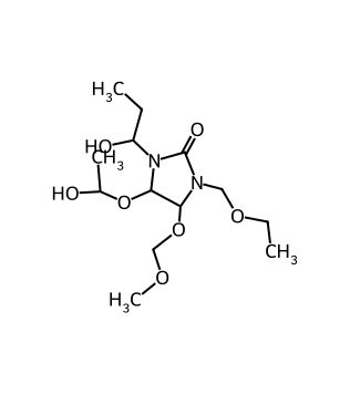 CCOCN1C(=O)N(C(O)CC)C(OC(C)O)C1OCOC